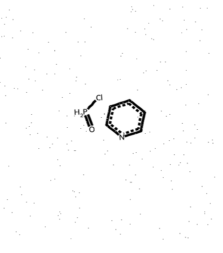 O=[PH2]Cl.c1ccncc1